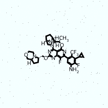 C[C@@H]1Oc2nc(-c3cc(N)c(F)c(C4CC4)c3C(F)(F)F)c(F)c3nc(OC[C@@H]4CC[C@H]5COCCN54)nc(c23)N2C[C@H]3CC[C@H](N3)[C@@H]12